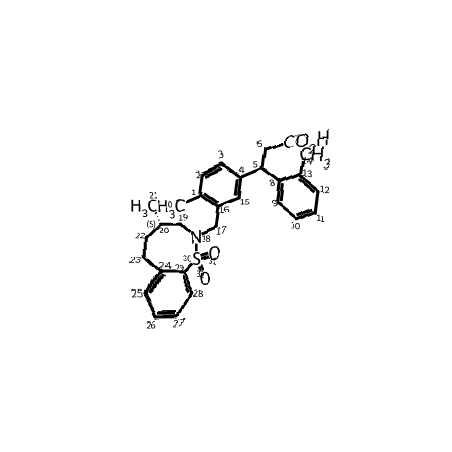 Cc1ccc(C(CC(=O)O)c2ccccc2C)cc1CN1C[C@@H](C)CCc2ccccc2S1(=O)=O